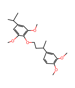 COc1ccc(C(C)CCOc2c(OC)cc(C(C)C)cc2OC)cc1OC